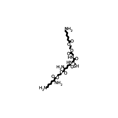 NCCCCCC(=O)OCCOC(=O)CNC(=O)[C@H](CS)NC(=O)CC[C@H](N)C(=O)OCCOC(=O)[C@@H](N)CCCCN